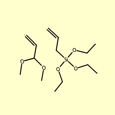 C=CC[Si](OCC)(OCC)OCC.[CH]=CC(OC)OC